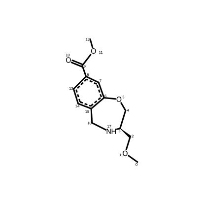 COC[C@@H]1COc2cc(C(=O)OC)ccc2CN1